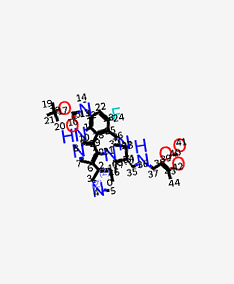 C/C=C(\C=N/C)c1cnc2[nH]c3c(N(C)C(=O)OC(C)(C)C)cc(F)c(C#N)c3c2c1N1CC[C@@H](CNCc2oc(=O)oc2C)[C@H]1C